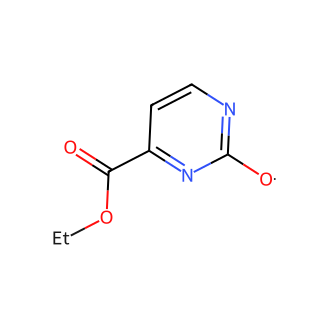 CCOC(=O)c1ccnc([O])n1